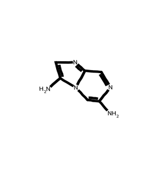 Nc1cn2c(N)cnc2cn1